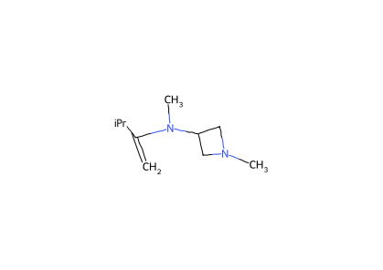 C=C(C(C)C)N(C)C1CN(C)C1